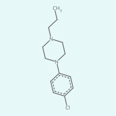 C[CH]CN1CCN(c2ccc(Cl)cc2)CC1